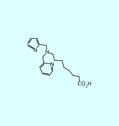 O=C(O)CCCCCCCN(Cc1ccccn1)Cc1ccccn1